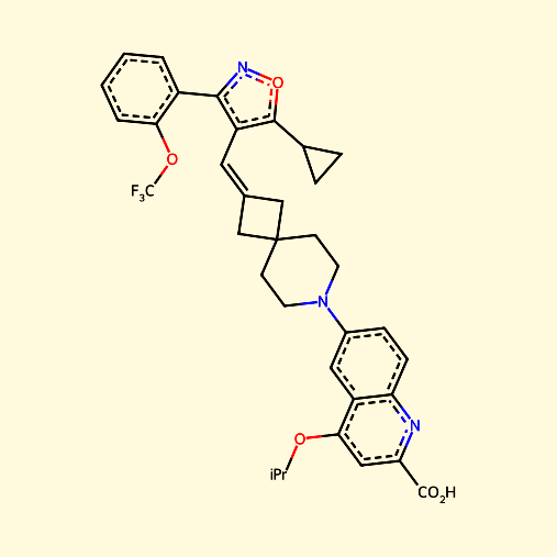 CC(C)Oc1cc(C(=O)O)nc2ccc(N3CCC4(CC3)CC(=Cc3c(-c5ccccc5OC(F)(F)F)noc3C3CC3)C4)cc12